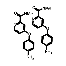 CNC(=O)c1cc(Oc2ccc(N)cc2)ccn1.CNC(=O)c1cc(Oc2ccc(N)cc2)ccn1